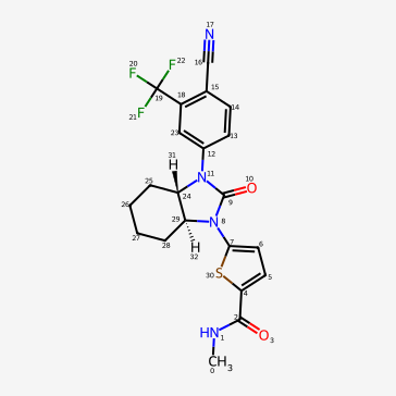 CNC(=O)c1ccc(N2C(=O)N(c3ccc(C#N)c(C(F)(F)F)c3)[C@H]3CCCC[C@@H]32)s1